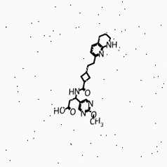 COc1ncc(C(CC(=O)O)NC(=O)C2CC(CCc3ccc4c(n3)NCCC4)C2)cn1